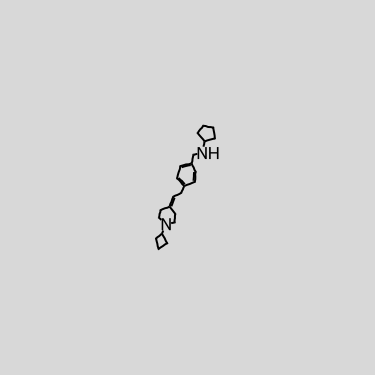 C(Cc1ccc(CNC2CCCC2)cc1)=C1CCN(C2CCC2)CC1